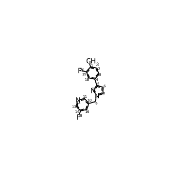 Cc1ccc(-c2ccn(Cc3cncc(F)c3)n2)cc1F